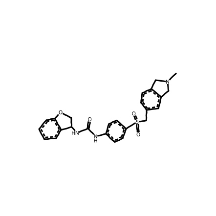 CN1Cc2ccc(CS(=O)(=O)c3ccc(NC(=O)NC4COc5ccccc54)cc3)cc2C1